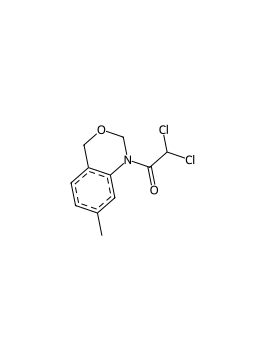 Cc1ccc2c(c1)N(C(=O)C(Cl)Cl)COC2